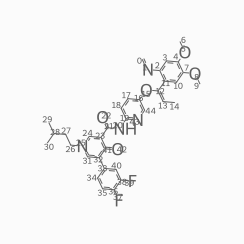 C=Nc1cc(OC)c(OC)cc1/C(=C\C)Oc1ccc(NC(=O)c2cn(CCC(C)C)cc(-c3ccc(F)c(F)c3)c2=O)nc1